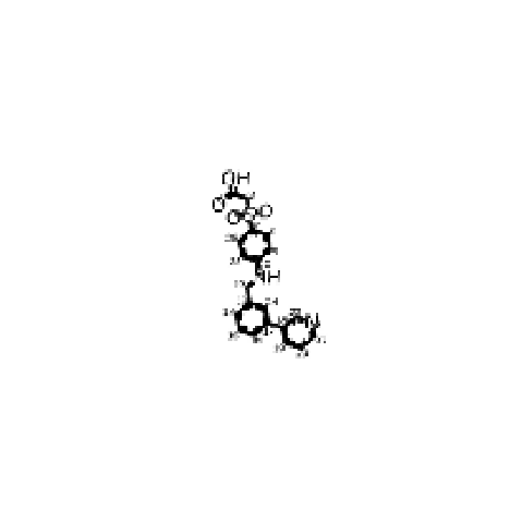 O=C(O)CS(=O)(=O)c1ccc(NCc2cccc(-c3cccnc3)c2)cc1